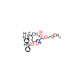 COCCOCC(O)c1cc(C(CCC(C)(C)C)O[SiH](c2ccccc2)c2ccccc2)on1